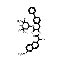 COc1ccc2cc(C(C)C(=O)NC(Cc3ccc(-c4ccccc4)cc3)C(=O)NC3CC(C)(C)NC(C)(C)C3)ccc2c1